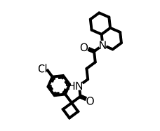 O=C(CCCNC(=O)C1(c2ccc(Cl)cc2)CCC1)N1CCCC2CCCCC21